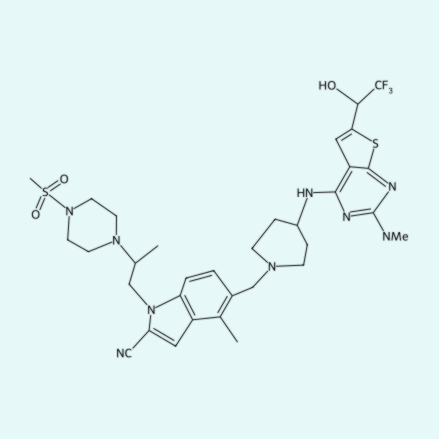 CNc1nc(NC2CCN(Cc3ccc4c(cc(C#N)n4CC(C)N4CCN(S(C)(=O)=O)CC4)c3C)CC2)c2cc(C(O)C(F)(F)F)sc2n1